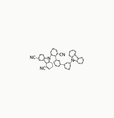 N#CC1=CCCc2c1c1cc(C#N)ccc1n2-c1cccc(C#N)c1-c1cccc(-c2cccc(-n3c4ccccc4c4ccccc43)c2)c1